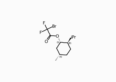 CC(C)[C@H]1CC[C@H](C)C[C@@H]1OC(=O)C(F)(F)Br